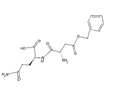 NC(=O)CC[C@H](NC(=O)[C@@H](N)CC(=O)OCc1ccccc1)C(=O)O